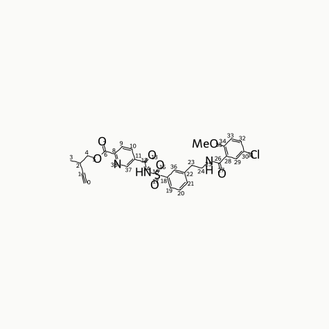 C#CC(C)COC(=O)c1ccc(C(=O)NS(=O)(=O)c2cccc(CCNC(=O)c3cc(Cl)ccc3OC)c2)cn1